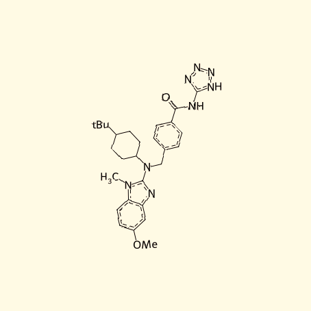 COc1ccc2c(c1)nc(N(Cc1ccc(C(=O)Nc3nnn[nH]3)cc1)C1CCC(C(C)(C)C)CC1)n2C